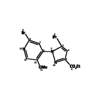 CCOC(=O)c1cc(C(C)C)n(-c2cc(Br)ncc2OC)n1